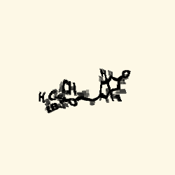 CC(C)(C)[Si](C)(C)OCCC1=C[C@H]2CC(=O)C[C@H]2C1